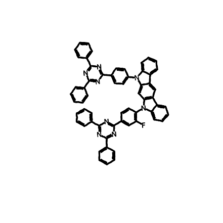 Fc1cc(-c2nc(-c3ccccc3)nc(-c3ccccc3)n2)ccc1-n1c2ccccc2c2cc3c4ccccc4n(-c4ccc(-c5nc(-c6ccccc6)nc(-c6ccccc6)n5)cc4)c3cc21